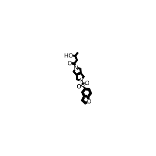 CC(O)CC(=O)N1CC2=C(C1)CN(S(=O)(=O)c1ccc3occc3c1)C2